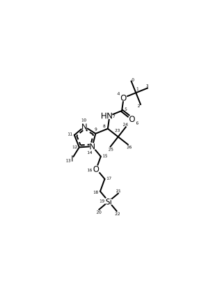 CC(C)(C)OC(=O)NC(c1ncc(I)n1COCC[Si](C)(C)C)C(C)(C)C